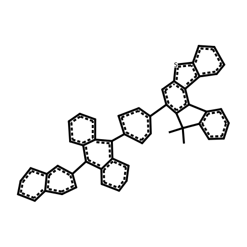 CC1(C)c2ccccc2-c2c1c(-c1ccc(-c3c4ccccc4c(-c4ccc5ccccc5c4)c4ccccc34)cc1)cc1sc3ccccc3c21